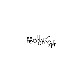 C=CCC1(C)CN(C(=O)Nc2ccc(OC(F)(F)F)cc2)N=C1c1ccc(C(F)(F)F)c(Cl)c1